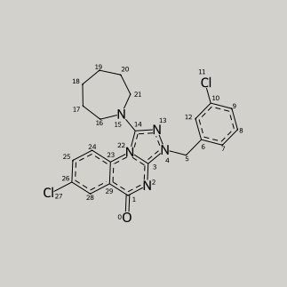 O=c1nc2n(Cc3cccc(Cl)c3)nc(N3CCCCCC3)n2c2ccc(Cl)cc12